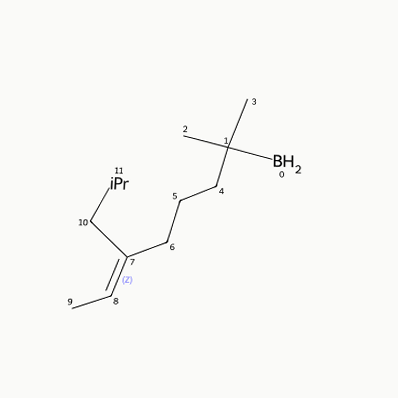 BC(C)(C)CCC/C(=C/C)CC(C)C